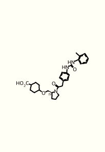 Cc1ccccc1NC(=O)Nc1ccc(CC(=O)N2CCC[C@H]2COC2CCC(C(=O)O)CC2)cc1